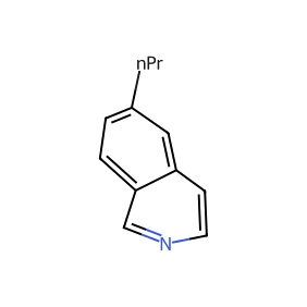 CCCc1ccc2cnccc2c1